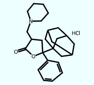 Cl.O=C1OC(c2ccccc2)(C23CC4CC(CC(C4)C2)C3)CC1CN1CCCCC1